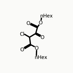 CCCCCCOC(=O)C(=O)C(Cl)C(=O)OCCCCCC